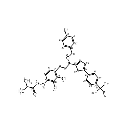 CC(C)C(=O)OOc1ccc(CCC(OCc2ccc(I)cc2)c2ccc(-c3ccc(C(F)(F)F)cc3)s2)c(Cl)c1Cl